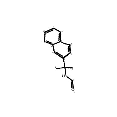 CC(C)(NC=O)c1ccc2ccccc2c1